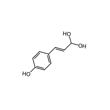 Oc1ccc(/C=C/C(O)O)cc1